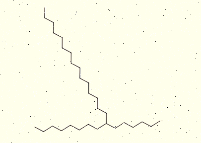 [CH2]CCCCCC(CCCCCCCC)CCCCCCCCCCCCCCC